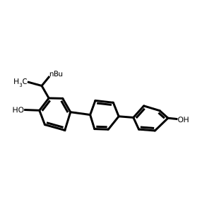 CCCCC(C)c1cc(C2C=CC(c3ccc(O)cc3)C=C2)ccc1O